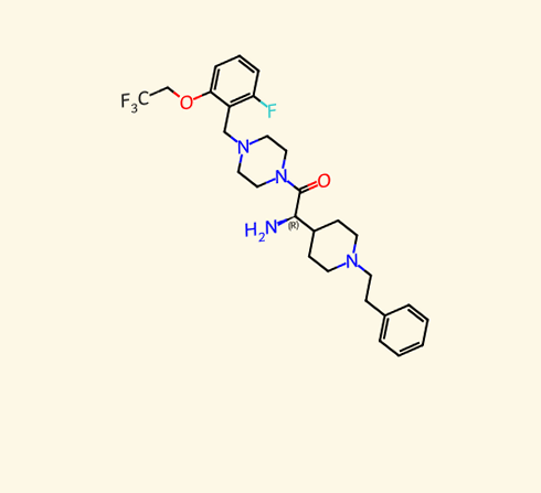 N[C@@H](C(=O)N1CCN(Cc2c(F)cccc2OCC(F)(F)F)CC1)C1CCN(CCc2ccccc2)CC1